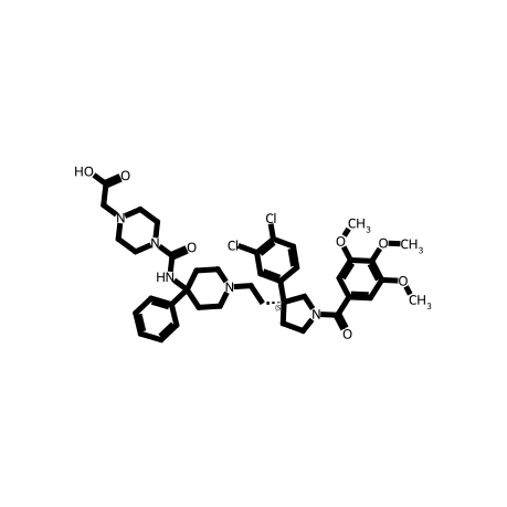 COc1cc(C(=O)N2CC[C@@](CCN3CCC(NC(=O)N4CCN(CC(=O)O)CC4)(c4ccccc4)CC3)(c3ccc(Cl)c(Cl)c3)C2)cc(OC)c1OC